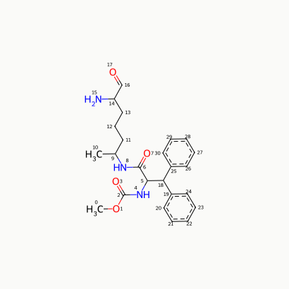 COC(=O)NC(C(=O)NC(C)CCCC(N)C=O)C(c1ccccc1)c1ccccc1